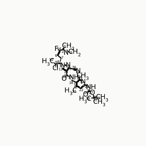 C=NC(=C)/C(F)=C\C[C@H](C(C)Cl)n1cc(C(=O)NCc2c(C)cc(NC(=O)OC(C)(C)C)nc2C)c(C#N)n1